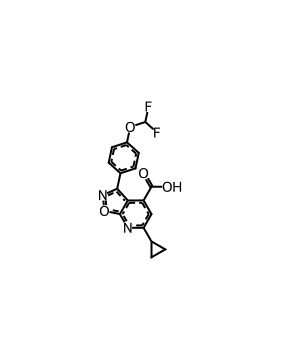 O=C(O)c1cc(C2CC2)nc2onc(-c3ccc(OC(F)F)cc3)c12